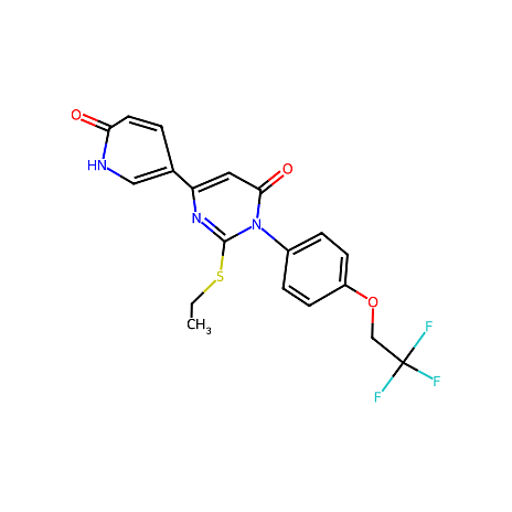 CCSc1nc(-c2ccc(=O)[nH]c2)cc(=O)n1-c1ccc(OCC(F)(F)F)cc1